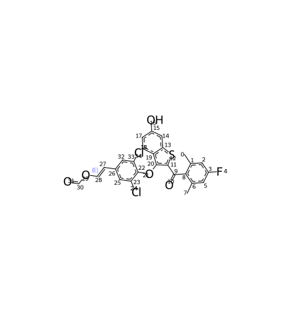 Cc1cc(F)cc(C)c1C(=O)c1sc2cc(O)ccc2c1Oc1c(Cl)cc(/C=C/OC=O)cc1Cl